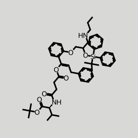 CCCNCC(COc1ccccc1/C(=C/Cc1ccccc1)OC(=O)CCC(=O)N[C@H](C(=O)OC(C)(C)C)C(C)C)O[Si](c1ccccc1)(c1ccccc1)C(C)(C)C